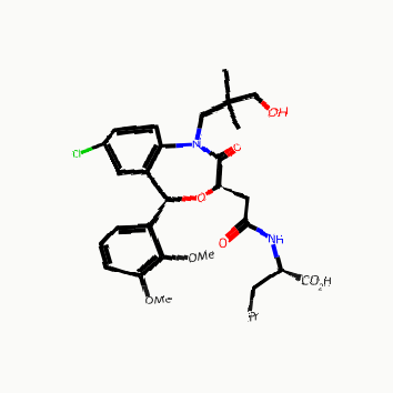 COc1cccc([C@@H]2O[C@H](CC(=O)N[C@H](CC(C)C)C(=O)O)C(=O)N(CC(C)(C)CO)c3ccc(Cl)cc32)c1OC